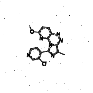 COc1ccc2nnc3c(C)nc(-c4ccncc4Cl)n3c2n1